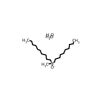 CCCCCCCCCC[N+](C)([O-])CCCCCCCCCC.O.O